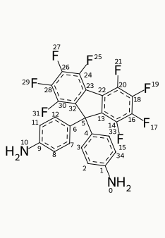 Nc1ccc(C2(c3ccc(N)cc3)c3c(F)c(F)c(F)c(F)c3-c3c(F)c(F)c(F)c(F)c32)cc1